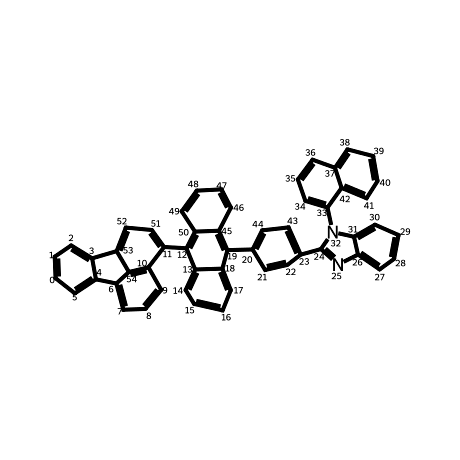 c1ccc2c(c1)-c1cccc3c(-c4c5ccccc5c(-c5ccc(-c6nc7ccccc7n6-c6cccc7ccccc67)cc5)c5ccccc45)ccc-2c13